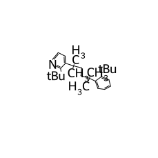 CC(C)(C)c1ccccc1C(C)(C)CCC(C)(C)c1cccnc1C(C)(C)C